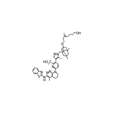 Cc1c(Nc2nc3ccccc3s2)nnc2c1CCCN2c1ccc(-c2cnn(CC34CC5(C)CC(C)(C3)CC(OCCN(C)CCCCO)(C5)C4)c2C)c(C(=O)O)n1